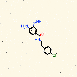 N=Nc1cc(C(=O)NCCc2ccc(Cl)cc2)ccc1N